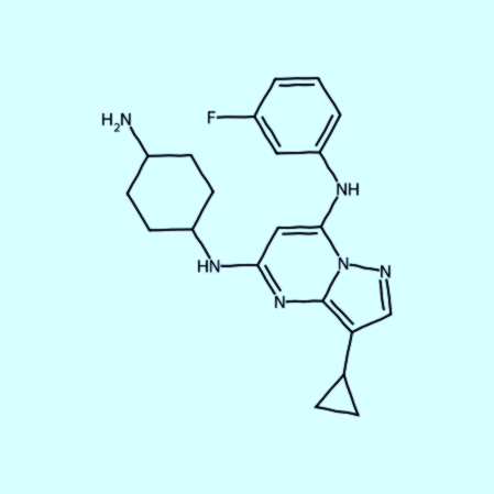 NC1CCC(Nc2cc(Nc3cccc(F)c3)n3ncc(C4CC4)c3n2)CC1